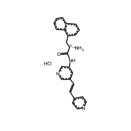 Cl.N[C@@H](Cc1cccc2ccccc12)C(=O)Nc1cncc(C=Cc2ccncc2)c1